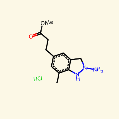 COC(=O)CCc1cc(C)c2c(c1)CN(N)N2.Cl